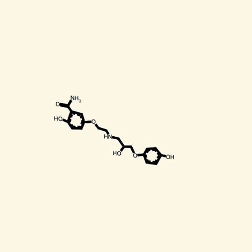 NC(=O)c1cc(OCCNCC(O)COc2ccc(O)cc2)ccc1O